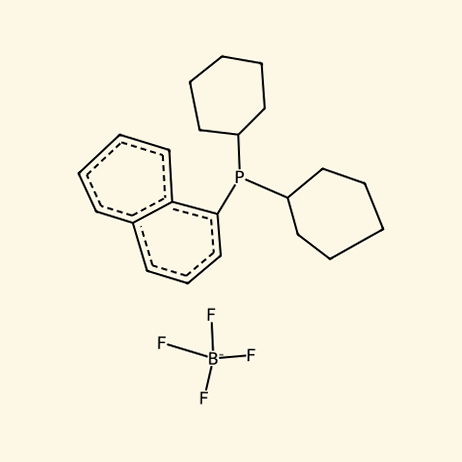 F[B-](F)(F)F.c1ccc2c(P(C3CCCCC3)C3CCCCC3)cccc2c1